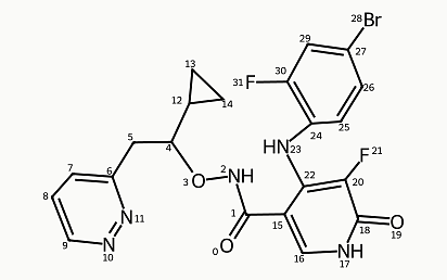 O=C(NOC(Cc1cccnn1)C1CC1)c1c[nH]c(=O)c(F)c1Nc1ccc(Br)cc1F